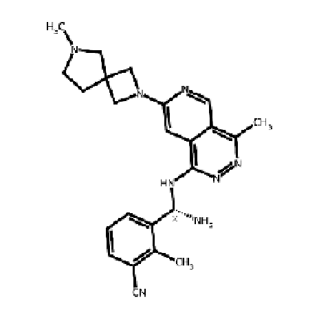 Cc1c(C#N)cccc1[C@@H](N)Nc1nnc(C)c2cnc(N3CC4(CCN(C)C4)C3)cc12